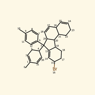 CC1=CCC(C2(c3ccc(C)cc3)C3=CC(Br)CCC3C3C4CCC=CC4C=CC32)C=C1